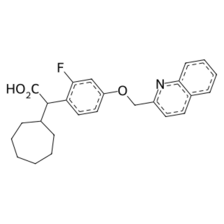 O=C(O)C(c1ccc(OCc2ccc3ccccc3n2)cc1F)C1CCCCCC1